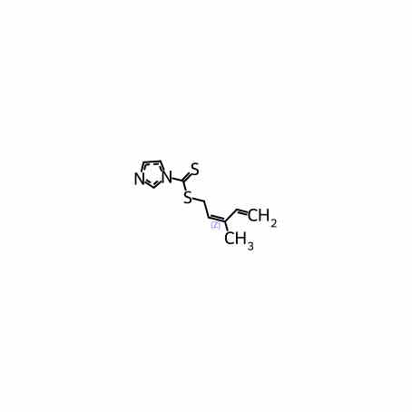 C=C/C(C)=C\CSC(=S)n1ccnc1